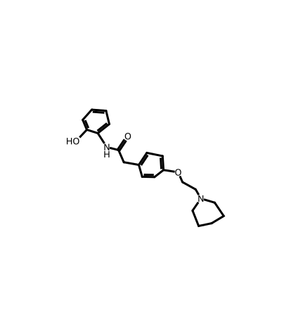 O=C(Cc1ccc(OCCN2CCCCC2)cc1)Nc1ccccc1O